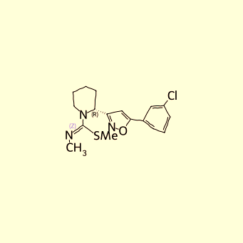 C/N=C(\SC)N1CCCC[C@@H]1c1cc(-c2cccc(Cl)c2)on1